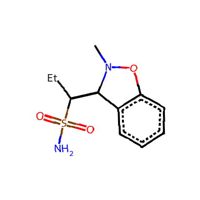 CCC(C1c2ccccc2ON1C)S(N)(=O)=O